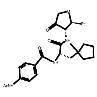 CC[C@@H]1OCC(=O)[C@H]1NC(=O)[C@H](CC1(C)CCCC1)NC(=O)c1ccc(NC(C)=O)cc1